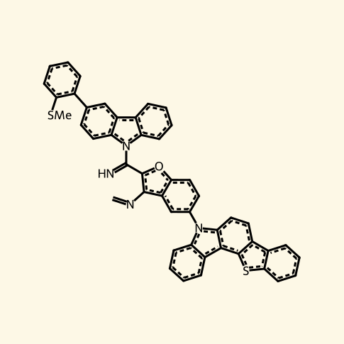 C=Nc1c(C(=N)n2c3ccccc3c3cc(-c4ccccc4SC)ccc32)oc2ccc(-n3c4ccccc4c4c5sc6ccccc6c5ccc43)cc12